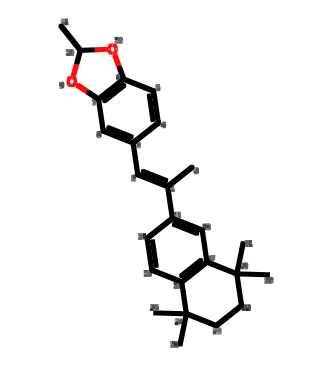 C/C(=C\c1ccc2c(c1)OC(C)O2)c1ccc2c(c1)C(C)(C)CCC2(C)C